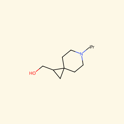 CC(C)N1CCC2(CC1)CC2CO